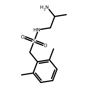 Cc1cccc(C)c1CS(=O)(=O)NCC(C)N